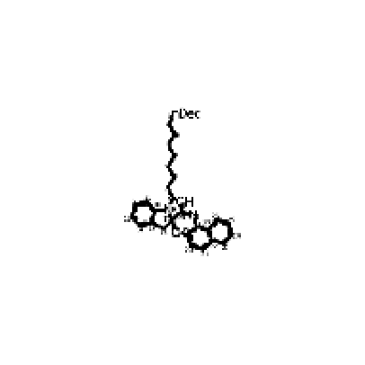 CCCCCCCCCCCCCCCCCCN1c2ccccc2CC12Oc1ccc3ccccc3c1N=C2O